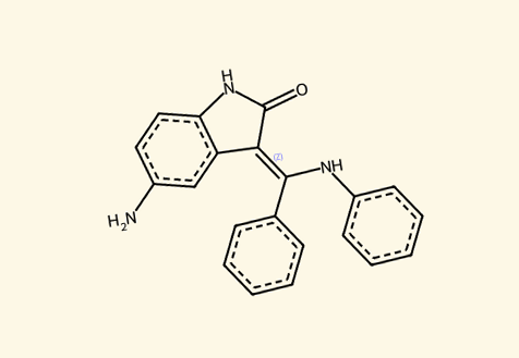 Nc1ccc2c(c1)/C(=C(/Nc1ccccc1)c1ccccc1)C(=O)N2